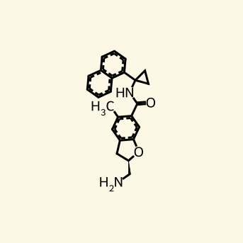 Cc1cc2c(cc1C(=O)NC1(c3cccc4ccccc34)CC1)O[C@@H](CN)C2